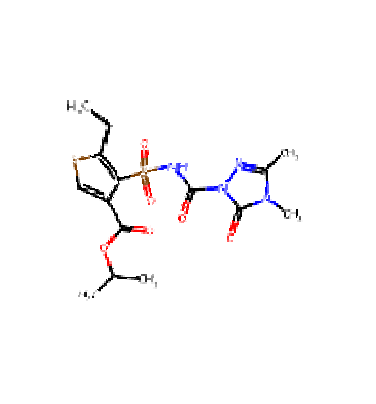 CCc1scc(C(=O)OC(C)C)c1S(=O)(=O)NC(=O)n1nc(C)n(C)c1=O